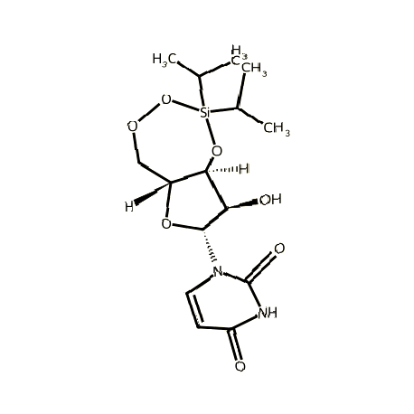 CC(C)[Si]1(C(C)C)OOC[C@H]2O[C@@H](n3ccc(=O)[nH]c3=O)[C@H](O)[C@@H]2O1